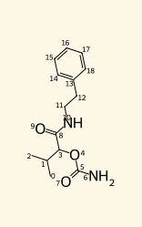 CC(C)C(OC(N)=O)C(=O)NCCc1ccccc1